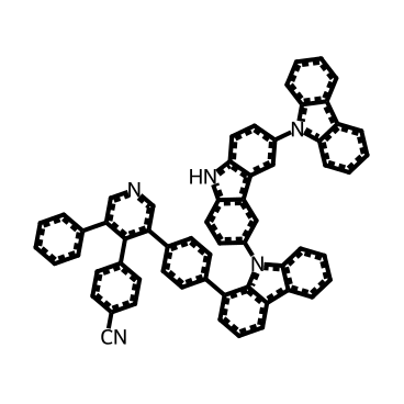 N#Cc1ccc(-c2c(-c3ccccc3)cncc2-c2ccc(-c3cccc4c5ccccc5n(-c5ccc6[nH]c7ccc(-n8c9ccccc9c9ccccc98)cc7c6c5)c34)cc2)cc1